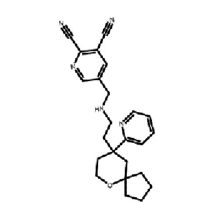 N#Cc1cc(CNCCC2(c3ccccn3)CCOC3(CCCC3)C2)cnc1C#N